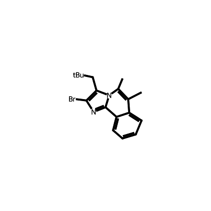 Cc1c(C)n2c(CC(C)(C)C)c(Br)nc2c2ccccc12